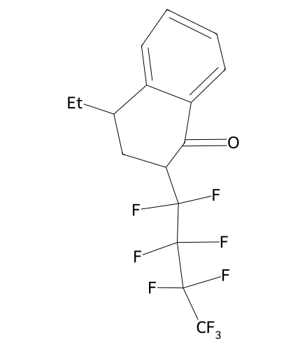 CCC1CC(C(F)(F)C(F)(F)C(F)(F)C(F)(F)F)C(=O)c2ccccc21